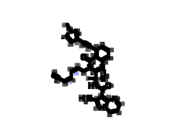 B[C@@](C)(NC(=O)c1c(N)nn2cccnc12)c1nc2cccc(C#Cc3ccn(C)n3)c2c(=O)n1C/C=C\C=C/C#C